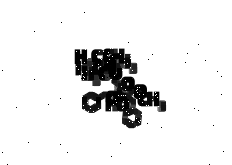 COC1O[C@H](CO[Si](C)(C)C(C)(C)C)[C@@H](OCc2ccccc2)[C@@]1(O)Cc1ccccc1